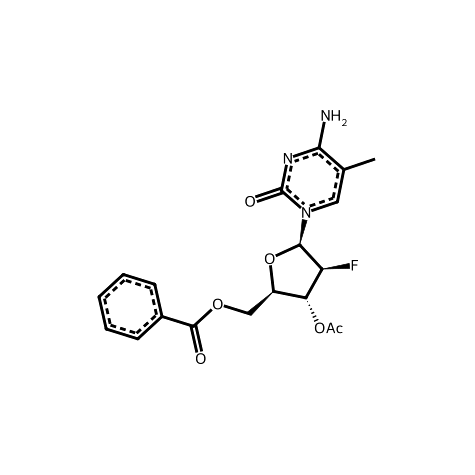 CC(=O)O[C@H]1[C@H](F)[C@H](n2cc(C)c(N)nc2=O)O[C@@H]1COC(=O)c1ccccc1